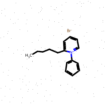 CCCCCc1cccc[n+]1-c1ccccc1.[Br-]